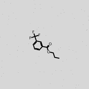 CCCOC(=O)c1cccc(C(F)(F)F)c1